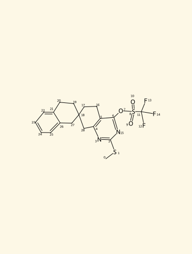 CSc1nc2c(c(OS(=O)(=O)C(F)(F)F)n1)CCC1(CCc3ccccc3C1)C2